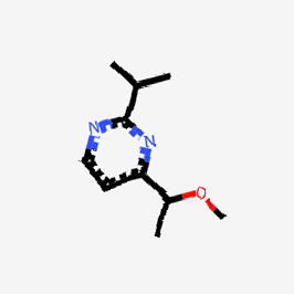 COC(C)c1c[c]nc(C(C)C)n1